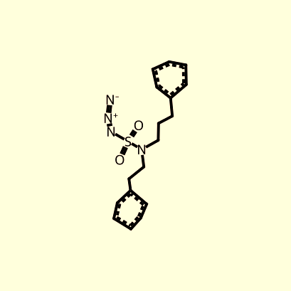 [N-]=[N+]=NS(=O)(=O)N(CCCc1ccccc1)CCc1ccccc1